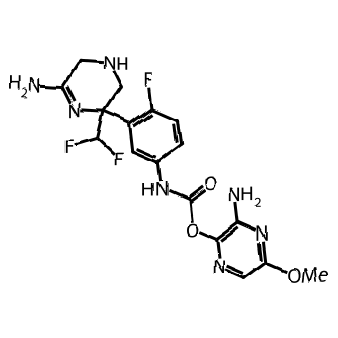 COc1cnc(OC(=O)Nc2ccc(F)c(C3(C(F)F)CNCC(N)=N3)c2)c(N)n1